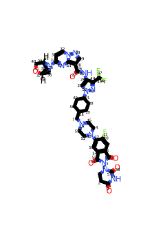 O=C1CCN(N2C(=O)c3cc(F)c(N4CCN(CC5CCC(n6cc(NC(=O)c7cnn8ccc(N9C[C@H]%10C[C@@H]9CO%10)nc78)c(C(F)F)n6)CC5)CC4)cc3C2=O)C(=O)N1